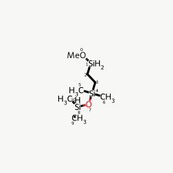 CO[SiH2]CC[Si](C)(C)O[SiH](C)C